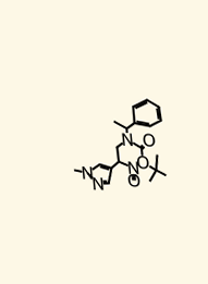 CC(c1ccccc1)N(CC(N=O)c1cnn(C)c1)C(=O)OC(C)(C)C